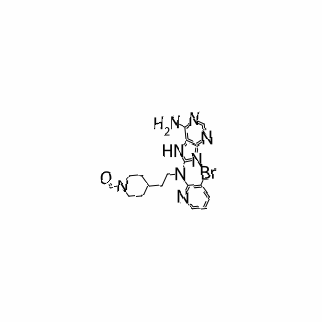 Nc1ncnc2nc(N(CCC3CCN(C=O)CC3)c3ncccc3Br)[nH]c12